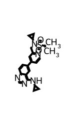 CC(C)S(=O)(=O)N(Cc1cc(-c2ccc3ncnc(NC4CC4)c3c2)ccn1)C1CC1